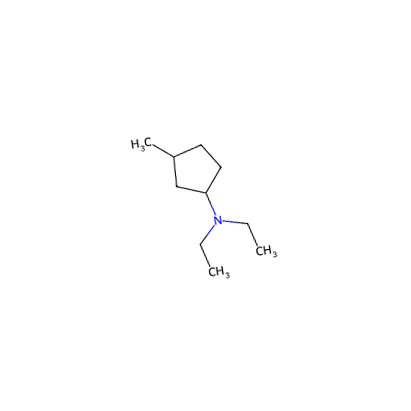 CCN(CC)C1CCC(C)C1